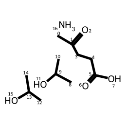 CC(=O)CCC(=O)O.CC(C)O.CC(C)O.N